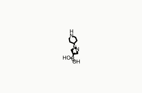 OB(O)c1cnn(C2CCNCC2)c1